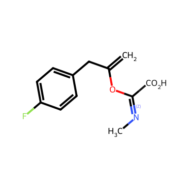 C=C(Cc1ccc(F)cc1)O/C(=N\C)C(=O)O